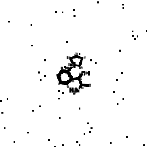 CC(N)C(O)c1ccccc1N1CCCC1